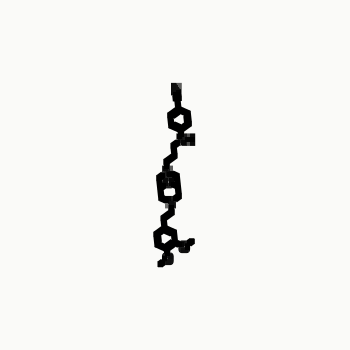 COc1ccc(CCN2CC3CN(CCCNc4ccc(C#N)cc4)CC(C2)O3)cc1OC